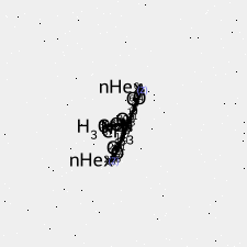 CCCCCC/C=C\COC(=O)CCCCCCCN(CCCCCCCC(=O)OC/C=C\CCCCCC)C(=O)COCCN(C)C